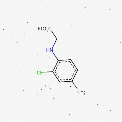 CCOC(=O)CNc1ccc(C(F)(F)F)cc1Cl